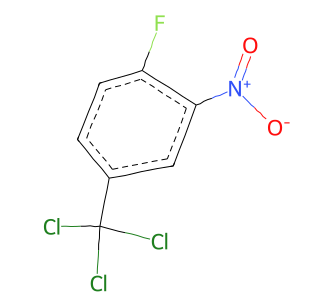 O=[N+]([O-])c1cc(C(Cl)(Cl)Cl)ccc1F